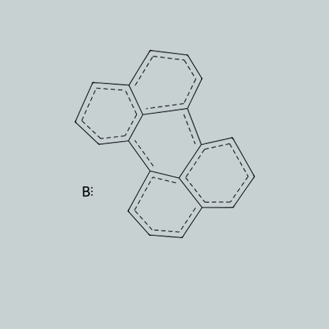 [B].c1cc2cccc3c4cccc5cccc(c(c1)c23)c54